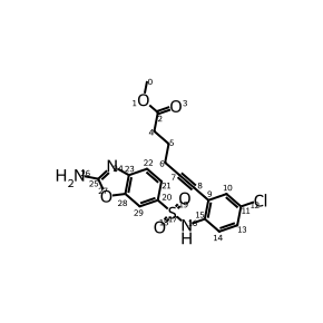 COC(=O)CCCC#Cc1cc(Cl)ccc1NS(=O)(=O)c1ccc2nc(N)oc2c1